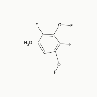 FOc1ccc(F)c(OF)c1F.O